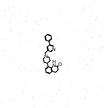 O=C1CCc2cccc(C3CCN(Cc4cncc(-c5ccccc5)c4)CC3)c2N1